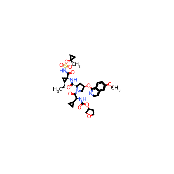 CC[C@@H]1C[C@]1(NC(=O)[C@@H]1C[C@@H](Oc2nccc3cc(OC)ccc23)CN1C(=O)[C@@H](NC(=O)O[C@H]1CCOC1)C1CC1)C(=O)NS(=O)(=O)OC1(C)CC1